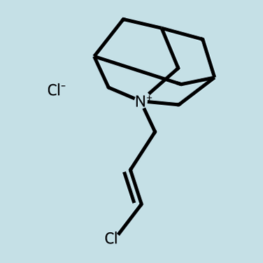 ClC=CC[N+]12CC3CC(CC(C3)C1)C2.[Cl-]